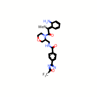 CN/C(C(=O)N1CCOCC1CNC(=O)c1ccc(-c2noc(C(F)(F)F)n2)cc1)=C1/C=CC=CC1N